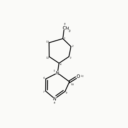 CC1CCC(n2ccncc2=O)CC1